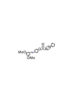 COc1cc(/C=C/c2ccc(OCC(O)CN3CCN(c4ccccc4)CC3)cc2)cc(OC)c1